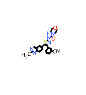 Cc1ncc2cc(-c3sc(NC(=O)N4CCOCC4)nc3-c3cccc(C#N)c3)ccc2n1